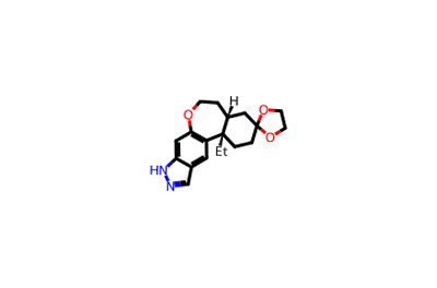 CC[C@]12CCC3(C[C@H]1CCOc1cc4[nH]ncc4cc12)OCCO3